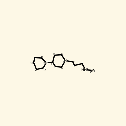 CC(C)NCCCN1CCC(N2CCCCC2)CC1